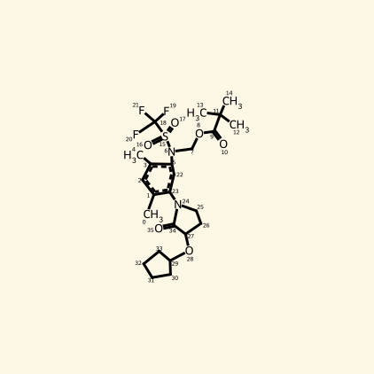 Cc1cc(C)c(N(COC(=O)C(C)(C)C)S(=O)(=O)C(F)(F)F)cc1N1CCC(OC2CCCC2)C1=O